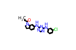 C=CC(=O)N1CCc2ccc(Nc3ncnc(Nc4cccc(Cl)c4)n3)cc21